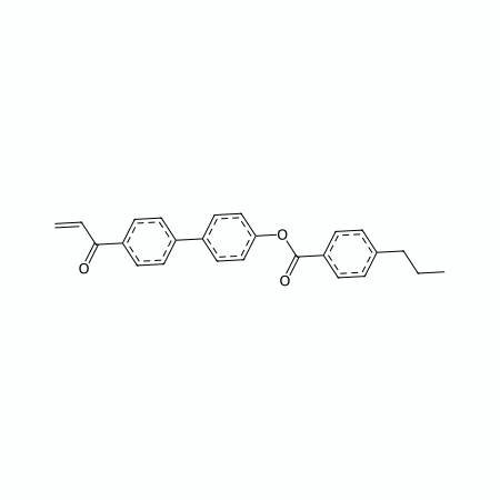 C=CC(=O)c1ccc(-c2ccc(OC(=O)c3ccc(CCC)cc3)cc2)cc1